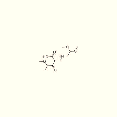 COC(CNC=C(C(=O)O)C(=O)C(C)OC)OC